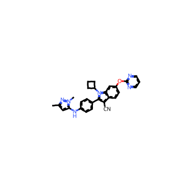 Cc1cc(Nc2ccc(-c3c(C#N)c4ccc(Oc5ncccn5)cc4n3C3CCC3)cc2)n(C)n1